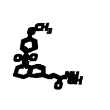 COc1ccc(S(=O)(=O)N2CCCc3cc(/C=C/C(=O)NO)ccc32)cc1